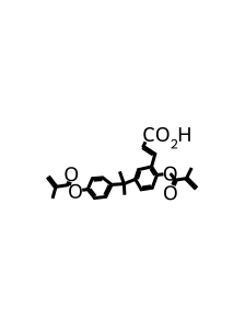 C=C(C)C(=O)Oc1ccc(C(C)(C)c2ccc(OC(=O)C(=C)C)c(C=CC(=O)O)c2)cc1